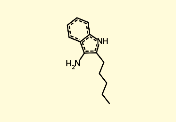 CCCCCc1[nH]c2ccccc2c1N